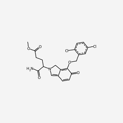 COC(=O)CCC(C(N)=O)N1C=C2C=CC(=O)C(OCc3cc(Cl)ccc3Cl)=C2C1